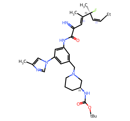 CC/C=C\[C@](C)(F)/C(C)=C/C(=N)C(=O)Nc1cc(CN2CCC[C@H](NC(=O)OC(C)(C)C)C2)cc(-n2cnc(C)c2)c1